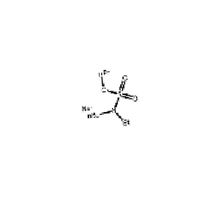 CCCCN(CC)S(=O)(=O)OCCC.[Na]